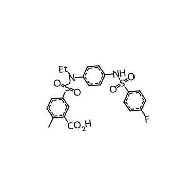 CCN(c1ccc(NS(=O)(=O)c2ccc(F)cc2)cc1)S(=O)(=O)c1ccc(C)c(C(=O)O)c1